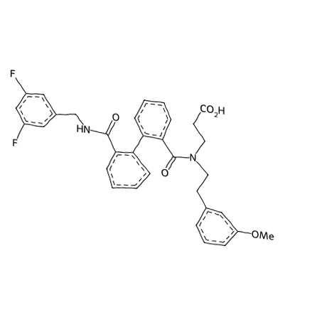 COc1cccc(CCN(CCC(=O)O)C(=O)c2ccccc2-c2ccccc2C(=O)NCc2cc(F)cc(F)c2)c1